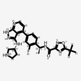 C[C@H](NC(=O)c1noc(C(C)(C)C)n1)c1ccc(-c2ccnc3[nH]nc(N[C@@H]4CCNC4)c23)cc1F